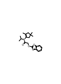 CC1=C(N(C(=O)COc2nc3ccccc3o2)C(C)C)CC(C)(C)C1